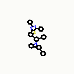 c1ccc(-c2cc(-c3cccc4c3sc3c(-c5ccccc5)nc(-c5ccccc5)nc34)cc(-n3c4ccccc4c4cc(-c5ccccc5)ccc43)c2)cc1